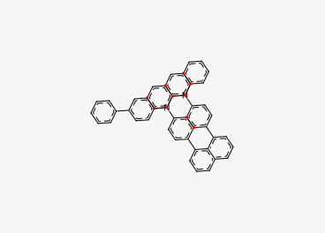 c1ccc(-c2ccc(N(c3ccccc3)c3ccc(-c4cccc5cccc(-c6ccc(N(c7ccccc7)c7ccccc7)cc6)c45)cc3)cc2)cc1